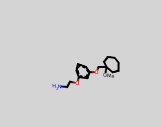 COC1(COc2cccc(OCCN)c2)CCCCCC1